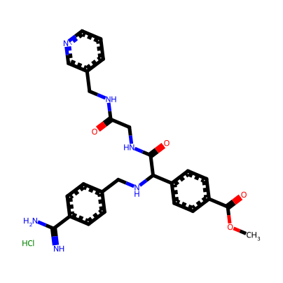 COC(=O)c1ccc(C(NCc2ccc(C(=N)N)cc2)C(=O)NCC(=O)NCc2cccnc2)cc1.Cl